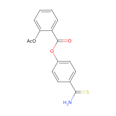 CC(=O)Oc1ccccc1C(=O)Oc1ccc(C(N)=S)cc1